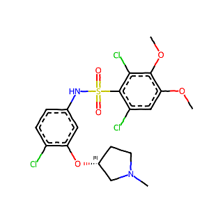 COc1cc(Cl)c(S(=O)(=O)Nc2ccc(Cl)c(O[C@@H]3CCN(C)C3)c2)c(Cl)c1OC